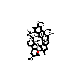 CC[C@H]1c2c3c(c(C)c(OC(C)=O)c2[C@]2(OC(=O)[C@]4(CS2)NCCc2c4[nH]c4ccc(OC)cc24)[C@H]2C4NC(Cc5cc(C)c(OC)c(O)c54)[C@H](O)N12)OCO3